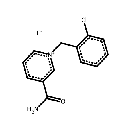 NC(=O)c1ccc[n+](Cc2ccccc2Cl)c1.[F-]